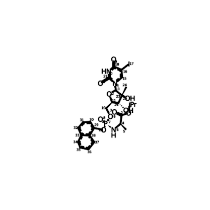 CC(C)OC(=O)[C@@H](C)N[P@](=O)(OC[C@H]1O[C@@H](n2cc(I)c(=O)[nH]c2=O)[C@](C)(O)[C@@H]1O)Oc1cccc2ccccc12